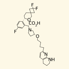 O=C(O)[C@@H](c1cc(F)ccc1[C@@H]1CCC2(CO1)CC(F)(F)C2)N1CC[C@@H](OCCCCc2ccc3c(n2)NCCC3)C1